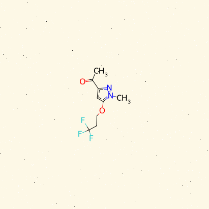 CC(=O)c1cc(OCCC(F)(F)F)n(C)n1